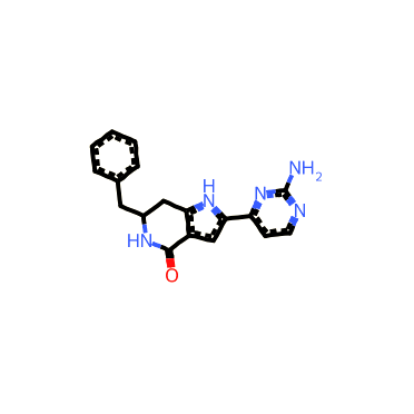 Nc1nccc(-c2cc3c([nH]2)CC(Cc2ccccc2)NC3=O)n1